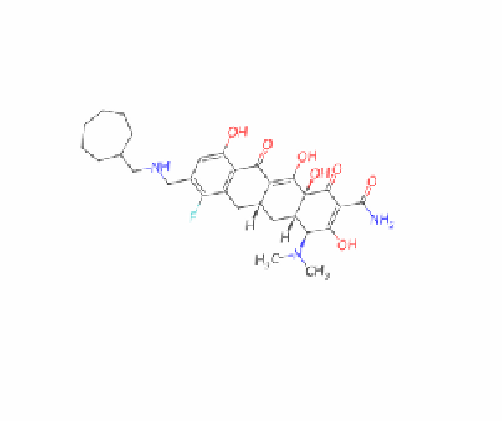 CN(C)[C@@H]1C(O)=C(C(N)=O)C(=O)[C@@]2(O)C(O)=C3C(=O)c4c(O)cc(CNCC5CCCCCC5)c(F)c4C[C@H]3C[C@@H]12